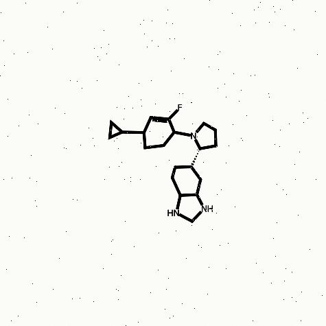 FC1=CC(C2CC2)CCC1N1CCC[C@@H]1C1CCC2NCNC2C1